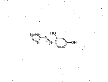 Oc1ccc(/N=N/c2ncn[nH]2)c(O)c1